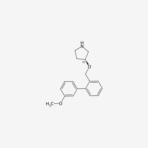 COc1cccc(-c2ccccc2CO[C@H]2CCNC2)c1